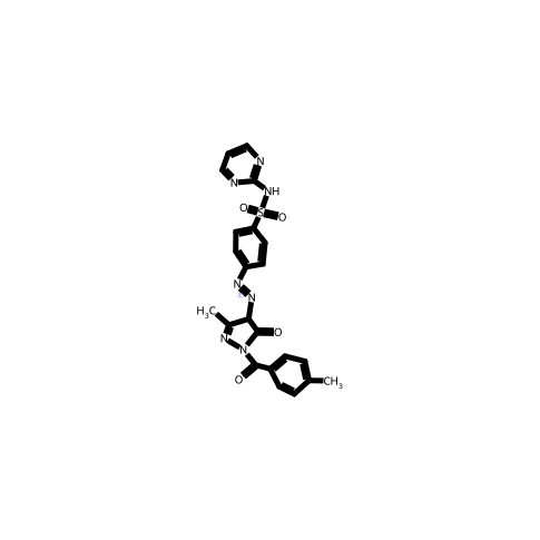 CC1=NN(C(=O)c2ccc(C)cc2)C(=O)C1/N=N/c1ccc(S(=O)(=O)Nc2ncccn2)cc1